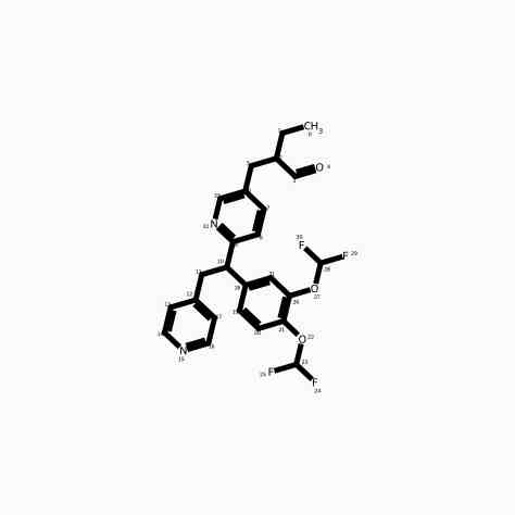 CCC(C=O)Cc1ccc(C(Cc2ccncc2)c2ccc(OC(F)F)c(OC(F)F)c2)nc1